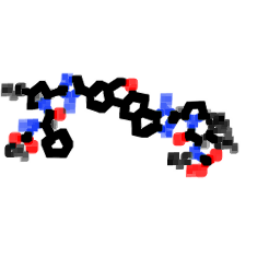 COC(=O)N[C@@H](C(=O)N1C[C@@H](C)C[C@H]1c1ncc(-c2ccc3c(c2)COc2cc4c(ccc5nc([C@@H]6CC[C@H](C)N6C(=O)[C@H](C(C)C)N(C)C(=O)O)[nH]c54)cc2-3)[nH]1)c1ccccc1